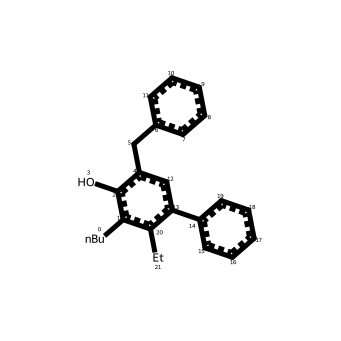 CCCCc1c(O)c(Cc2ccccc2)cc(-c2ccccc2)c1CC